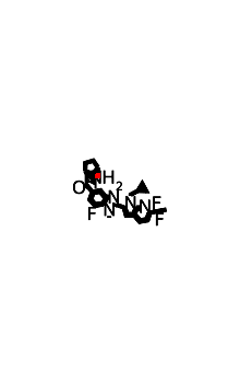 Cn1c(-c2cc3ccc(C(C)(F)F)nc3n2CC2CC2)nc2cc(C(=O)N3CC4CCC3[C@@H]4N)cc(F)c21